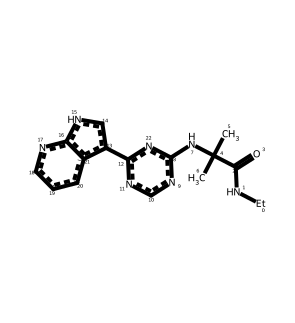 CCNC(=O)C(C)(C)Nc1ncnc(-c2c[nH]c3ncccc23)n1